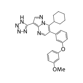 COc1cccc(Oc2cccc(-c3cnc4c(-c5nnn[nH]5)cnn4c3C3CCCCC3)c2)c1